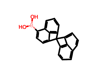 OB(O)c1ccc2c3c(cccc13)C21c2cccc3cccc1c23